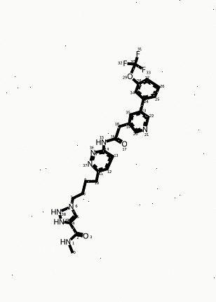 CNC(=O)C1=CN(CCCCc2ccc(NC(=O)Cc3cncc(-c4cccc(OC(F)(F)F)c4)c3)nn2)NN1